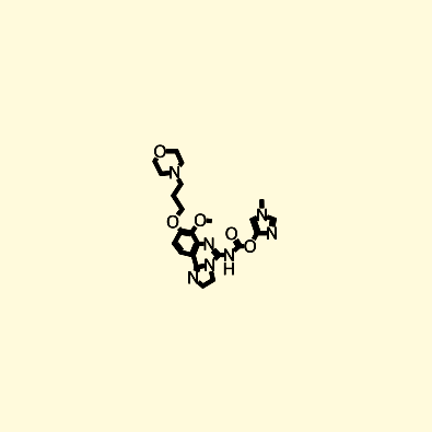 COc1c(OCCCN2CCOCC2)ccc2c1N=C(NC(=O)Oc1cn(C)cn1)N1CCN=C21